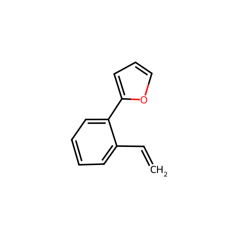 C=Cc1ccccc1-c1ccco1